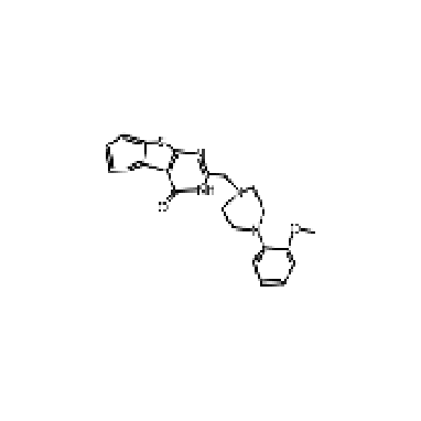 COc1ccccc1N1CCN(Cc2nc3sc4ccccc4c3c(=O)[nH]2)CC1